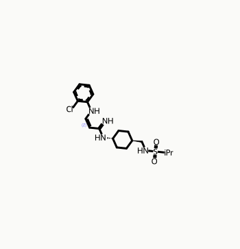 CC(C)S(=O)(=O)NC[C@H]1CC[C@H](NC(=N)/C=C\Nc2ccccc2Cl)CC1